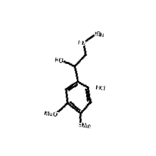 COc1cc(C(O)CNC(C)(C)C)ccc1SC.Cl